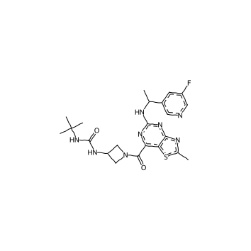 Cc1nc2nc(NC(C)c3cncc(F)c3)nc(C(=O)N3CC(NC(=O)NC(C)(C)C)C3)c2s1